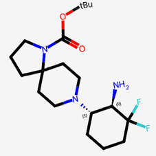 CC(C)(C)OC(=O)N1CCCC12CCN([C@H]1CCCC(F)(F)[C@@H]1N)CC2